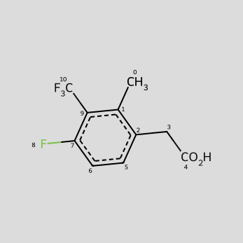 Cc1c(CC(=O)O)ccc(F)c1C(F)(F)F